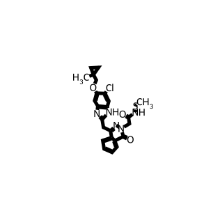 CSNC(=O)Cn1nc(Cc2nc3cc(OCC4(C)CC4)c(Cl)cc3[nH]2)c2ccccc2c1=O